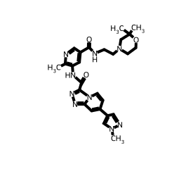 Cc1ncc(C(=O)NCCN2CCOC(C)(C)C2)cc1NC(=O)c1nnc2cc(-c3cnn(C)c3)ccn12